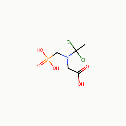 CC(Cl)(Cl)N(CC(=O)O)CP(=O)(O)O